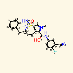 Cn1cc2c(c1C(O)Nc1ccc(F)c(C#N)c1)CC[C@@H](Cc1ccccc1)NS2(=N)=O